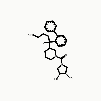 CC(=O)NCCCC(O)(c1ccccc1-c1ccccc1)C1CCCN(C(=O)N2C[C@@H](N)[C@@H](O)C2)C1